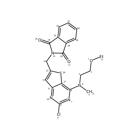 CCOCCN(C)c1nc(Cl)nc2cc(CN3C(=O)c4ccccc4C3=O)sc12